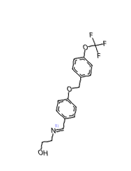 OCC/N=C/c1ccc(OCc2ccc(OC(F)(F)F)cc2)cc1